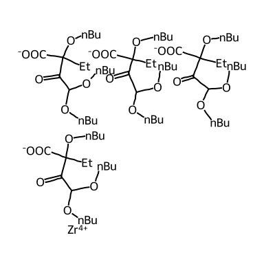 CCCCOC(OCCCC)C(=O)C(CC)(OCCCC)C(=O)[O-].CCCCOC(OCCCC)C(=O)C(CC)(OCCCC)C(=O)[O-].CCCCOC(OCCCC)C(=O)C(CC)(OCCCC)C(=O)[O-].CCCCOC(OCCCC)C(=O)C(CC)(OCCCC)C(=O)[O-].[Zr+4]